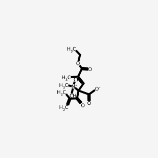 C=C(C)C(=O)C(C=C(C)C(=O)OCC)(C(=O)[O-])[N+](C)(C)C